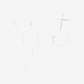 OCCNc1nc2c(c(Oc3ccccc3C(F)(F)F)n1)CCNC2